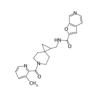 Cc1cccnc1C(=O)N1CCC2(CC1)CC2CNC(=O)c1cc2ccncc2o1